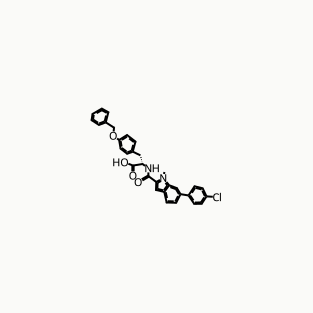 Cn1c(C(=O)N[C@@H](Cc2ccc(OCc3ccccc3)cc2)C(=O)O)cc2ccc(-c3ccc(Cl)cc3)cc21